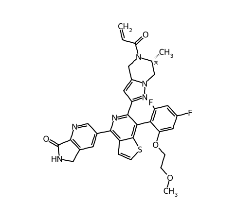 C=CC(=O)N1Cc2cc(-c3nc(-c4cnc5c(c4)CNC5=O)c4ccsc4c3-c3c(F)cc(F)cc3OCCOC)nn2C[C@H]1C